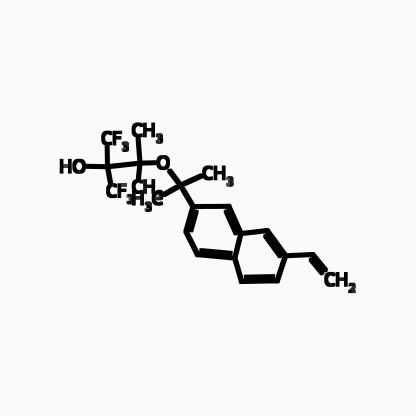 C=Cc1ccc2ccc(C(C)(C)OC(C)(C)C(O)(C(F)(F)F)C(F)(F)F)cc2c1